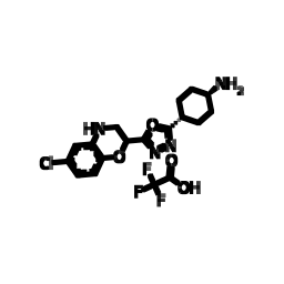 N[C@H]1CC[C@H](c2nnc(C3CNc4cc(Cl)ccc4O3)o2)CC1.O=C(O)C(F)(F)F